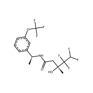 C[C@H](NC(=O)C[C@@](C)(O)C(F)(F)C(F)F)c1cccc(OC(F)(F)F)c1